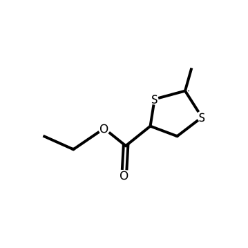 CCOC(=O)C1CS[C](C)S1